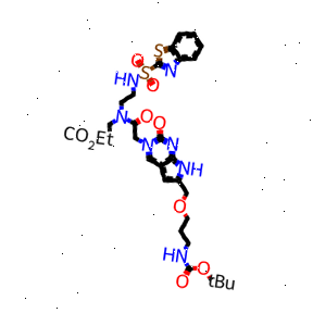 CCOC(=O)CN(CCNS(=O)(=O)c1nc2ccccc2s1)C(=O)Cn1cc2cc(COCCCNC(=O)OC(C)(C)C)[nH]c2nc1=O